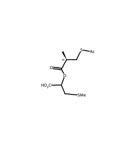 CSCC(OC(=O)[C@@H](C)CSC(C)=O)C(=O)O